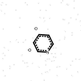 [O].[O].c1ccncc1